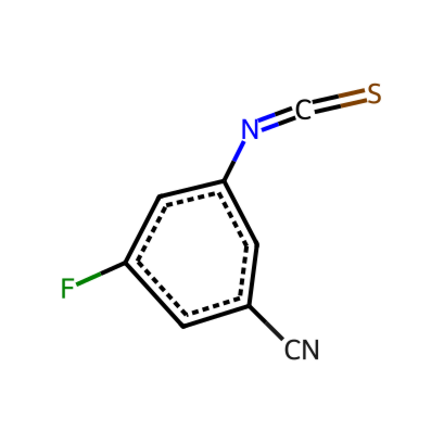 N#Cc1cc(F)cc(N=C=S)c1